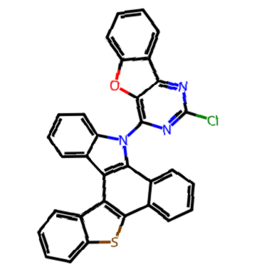 Clc1nc(-n2c3ccccc3c3c4c5ccccc5sc4c4ccccc4c32)c2oc3ccccc3c2n1